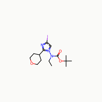 CCN(C(=O)OC(C)(C)C)n1cc(I)nc1C1CCOCC1